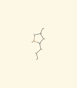 CCCC1CC(C)CS1